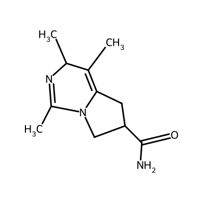 CC1=NC(C)C(C)=C2CC(C(N)=O)CN12